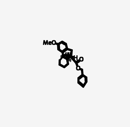 COc1ccc2c(c1)[C@@]13CCCC[C@H]1[C@@H](C2)N(C(=O)OCc1ccccc1)CC3